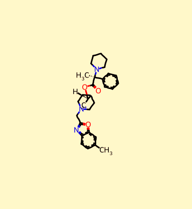 Cc1ccc2nc(C[N+]34CCC(CC3)[C@@H](OC(=O)[C@](C)(c3ccccc3)N3CCCCC3)C4)oc2c1